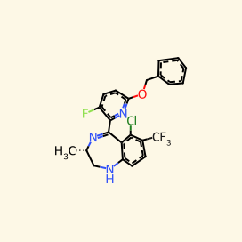 C[C@H]1CNc2ccc(C(F)(F)F)c(Cl)c2C(c2nc(OCc3ccccc3)ccc2F)=N1